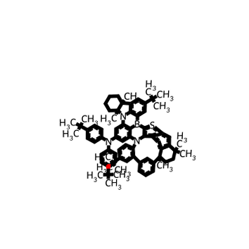 CC(C)(C)c1ccc(N(c2ccc(C(C)(C)C)cc2)c2cc3c4c(c2)N2c5c(cc(C(C)(C)C)cc5C5(C)CCCCC25C)B4c2sc4cc5c6cc4c2N3c2ccc(C(C)(C)C)cc2-c2cccc(c2)C6(C)CCC5(C)C)cc1